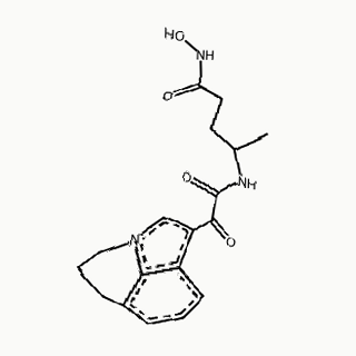 CC(CCC(=O)NO)NC(=O)C(=O)c1cn2c3c(cccc13)CCC2